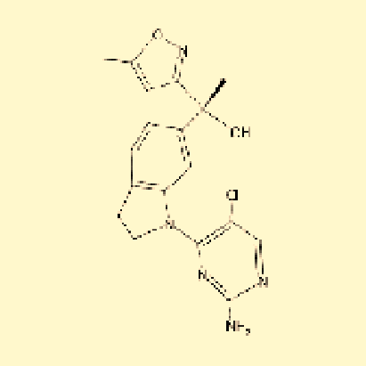 Cc1cc([C@](C)(O)c2ccc3c(c2)N(c2nc(N)ncc2Cl)CC3)no1